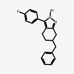 CC(C)n1nc2c(c1-c1ccc(F)cc1)CCC(Cc1ccccc1)C2